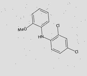 COc1ccccc1Nc1ccc(Cl)cc1Cl